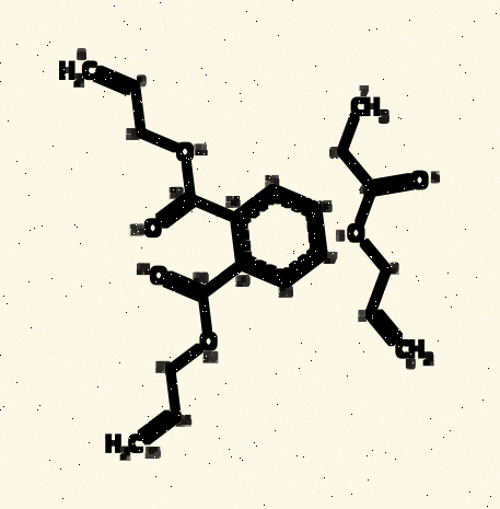 C=CCOC(=O)CC.C=CCOC(=O)c1ccccc1C(=O)OCC=C